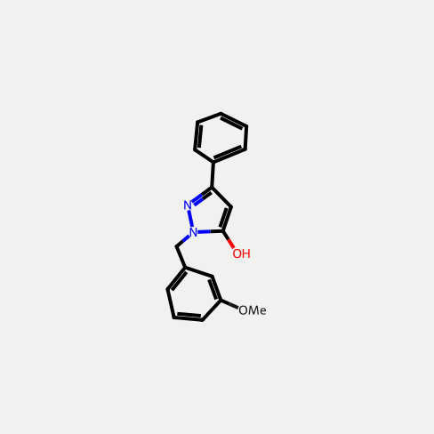 COc1cccc(Cn2nc(-c3ccccc3)cc2O)c1